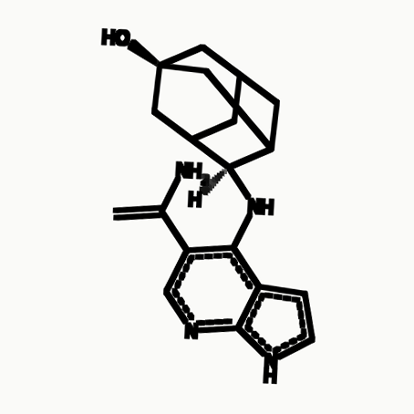 C=C(N)c1cnc2[nH]ccc2c1N[C@H]1C2CC3CC1C[C@@](O)(C3)C2